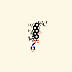 CC1(C)[C@@H](C(=O)OCCN2CCOCC2)CC[C@]2(C)[C@H]3C(=O)C=C4[C@@H]5C[C@@](C)(C(=O)O)CC[C@]5(C)CC[C@@]4(C)[C@]3(C)CC[C@@H]12